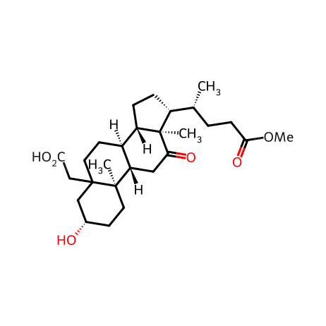 COC(=O)CC[C@@H](C)[C@H]1CC[C@H]2[C@@H]3CCC4(CC(=O)O)C[C@@H](O)CC[C@]4(C)[C@H]3CC(=O)[C@]12C